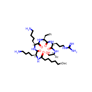 CCCCCCCCCCCCCCCC(=O)N[C@@H](CCCCN)C(=O)N[C@@H](CCCCN)C(=O)N[C@@H](CC(C)C)C(=O)N[C@@H](CCCNC(=N)N)C(=O)N[C@@H](CO)C(C)=O